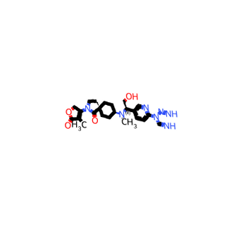 CC1=C(N2CC[C@]3(CC[C@H](N(C)[C@@H](CO)c4ccc(N(C=N)N=N)nc4)CC3)C2=O)COC1=O